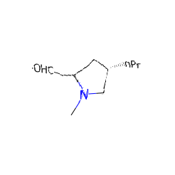 CCC[C@H]1CC([C]=O)N(C)C1